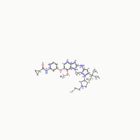 COc1c(Oc2ccnc(NC(=O)C3CC3)c2)cnc2nc(Nc3cc(C(C)(C)C)n(C4CCN(CCF)C4)n3)n(C)c12